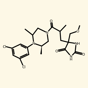 COCC1(CC(C)C(=O)N2CC(C)N(c3cc(Cl)cc(Cl)c3)[C@H](C)C2)NC(=O)NC1=O